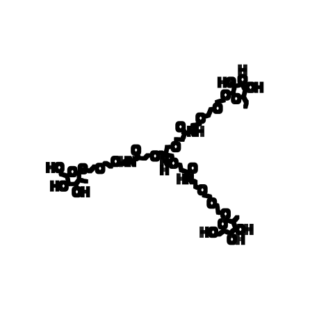 CCC1OC(OCCOCCOCCNC(=O)CCOCC(COCCC(=O)NCCOCCOCCOC2OC(CO)C(O)C(O)C2C)(COCCC(=O)NCCOCCOCCOC2OC(CO)C(O)C(O)C2C)NC)C(O)C(O)C1O